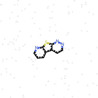 c1cnc2sc3nnccc3c2c1